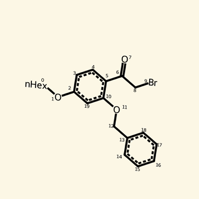 CCCCCCOc1ccc(C(=O)CBr)c(OCc2ccccc2)c1